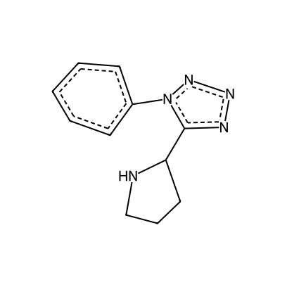 c1ccc(-n2nnnc2C2CCCN2)cc1